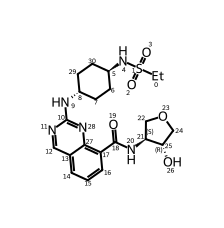 CCS(=O)(=O)N[C@H]1CC[C@H](Nc2ncc3cccc(C(=O)N[C@H]4COC[C@@H]4O)c3n2)CC1